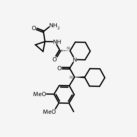 COc1cc([C@@H](C(=O)N2CCCC[C@H]2C(=O)NC2(C(N)=O)CC2)C2CCCCC2)cc(C)c1OC